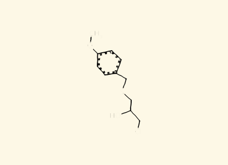 COc1ccc(CSCC(O)CCl)cc1